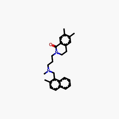 Cc1cc2c(cc1C)C(=O)N(CCCN(C)Cc1c(C)ccc3ccccc13)CC2